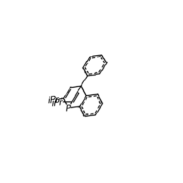 CC(C)C1=CC2(c3ccccc3)C=C(C(C)C)P1c1ccccc12